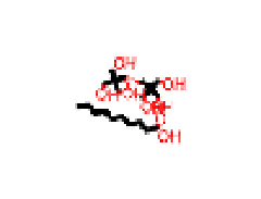 CCCCCCCCCC(=O)O.OCC(CO)(CO)COCC(CO)(CO)CO